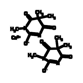 CN1C(=O)C(C)(C)C(=O)N=C1[O-].CN1C(=O)C(C)(C)C(=O)N=C1[O-].[Ca+2]